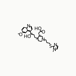 COc1ccc2nccc([C@H](O)CC[C@@H]3CCN(CCCSc4nccn4C)C[C@@H]3CC(=O)O)c2c1